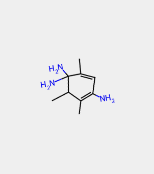 CC1=CC(N)=C(C)C(C)C1(N)N